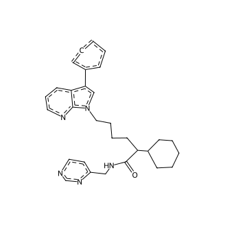 O=C(NCc1ccncn1)C(CCCCn1cc(-c2ccccc2)c2cccnc21)C1CCCCC1